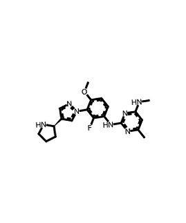 CNc1cc(C)nc(Nc2ccc(OC)c(-n3cc([C@H]4CCCN4)cn3)c2F)n1